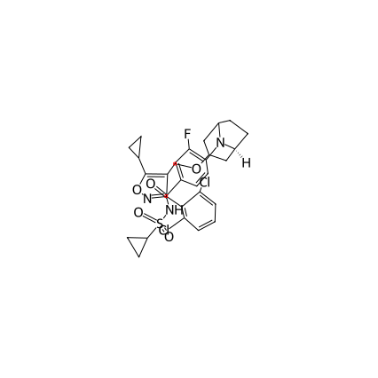 O=C(NS(=O)(=O)C1CC1)c1ccc(N2C3CC[C@H]2CC(OCc2c(-c4c(Cl)cccc4Cl)noc2C2CC2)C3)c(F)c1